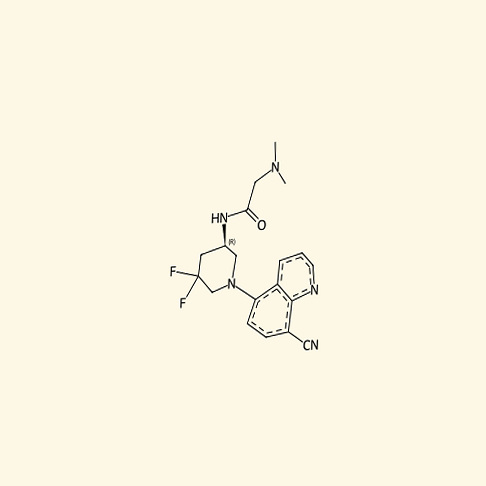 CN(C)CC(=O)N[C@H]1CN(c2ccc(C#N)c3ncccc23)CC(F)(F)C1